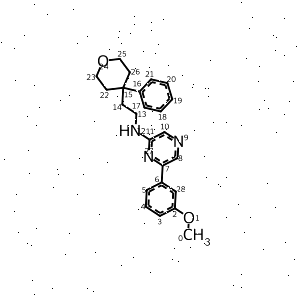 COc1cccc(-c2cncc(NCCC3(c4ccccc4)CCOCC3)n2)c1